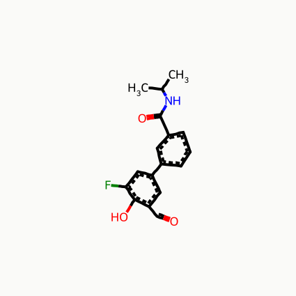 CC(C)NC(=O)c1cccc(-c2cc(F)c(O)c(C=O)c2)c1